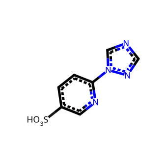 O=S(=O)(O)c1ccc(-n2cncn2)nc1